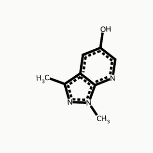 Cc1nn(C)c2ncc(O)cc12